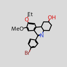 CCOc1cc2c(cc1OC)C(c1ccc(Br)cc1)=NC1CCC(O)CC21